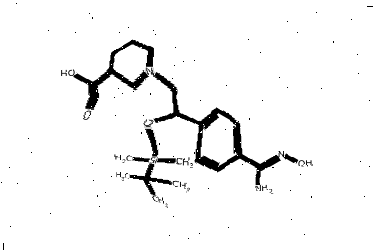 CC(C)(C)[Si](C)(C)OC(CN1CCCC(C(=O)O)C1)c1ccc(C(N)=NO)cc1